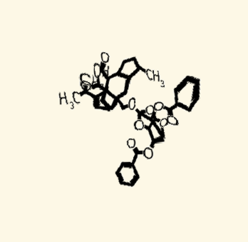 CC(C)C1=CC2CC3(C=O)C4CCC(C)C4CC2(COC24OC5OC(C(OC(=O)c6ccccc6)C5O2)C4OC(=O)c2ccccc2)C13C(=O)O